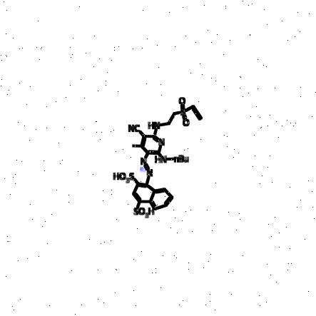 C=CS(=O)(=O)CCNc1nc(NCCCC)c(/N=N/c2c(S(=O)(=O)O)cc(S(=O)(=O)O)c3ccccc23)c(C)c1C#N